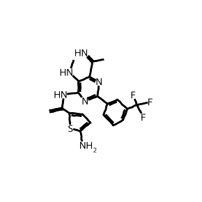 C=C(Nc1nc(-c2cccc(C(F)(F)F)c2)nc(C(C)=N)c1NC)c1ccc(N)s1